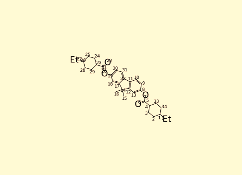 CCC1CCC(C(=O)Oc2ccc3c(c2)C(C)(C)c2cc(OC(=O)C4CCC(CC)CC4)ccc2-3)CC1